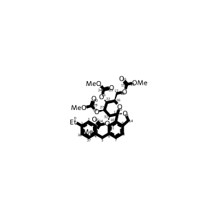 CCc1ccc(Cc2ccc3c(c2)[C@]2(OC3)O[C@H](COC(=O)OC)[C@@H](OC(=O)OC)[C@H](OC(=O)OC)[C@H]2OC(=O)OC)cc1